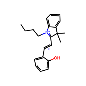 CCCC[N+]1=C(/C=C/c2ccccc2O)C(C)(C)c2ccccc21